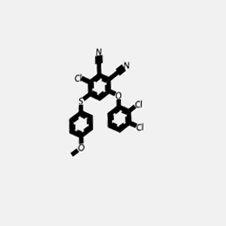 COc1ccc(Sc2cc(Oc3cccc(Cl)c3Cl)c(C#N)c(C#N)c2Cl)cc1